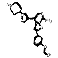 CC(=O)N1CCC(n2cc(-c3cnc(N)c4oc(-c5cccc(OCC#N)c5)cc34)cn2)CC1